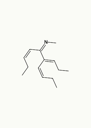 CC\C=C/C(=N/C)C(/C=C\CC)=C/CC